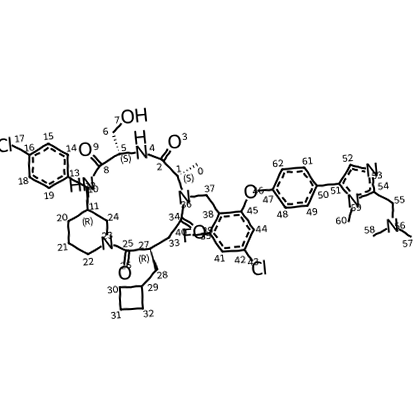 C[C@H]1C(=O)N[C@@H](CO)C(=O)N[C@@]2(Cc3ccc(Cl)cc3)CCCN(C2)C(=O)[C@H](CC2CCC2)CC(=O)N1Cc1c(F)cc(Cl)cc1Oc1ccc(-c2cnc(CN(C)C)n2C)cc1